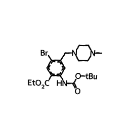 CCOC(=O)c1cc(Br)c(CN2CCN(C)CC2)cc1NC(=O)OC(C)(C)C